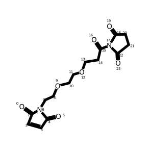 O=C1C=CC(=O)N1CCOCCOCCC(=O)N1C(=O)CCC1=O